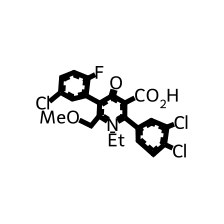 CCn1c(COC)c(-c2cc(Cl)ccc2F)c(=O)c(C(=O)O)c1-c1ccc(Cl)c(Cl)c1